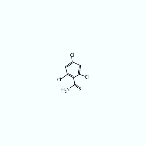 NC(=S)c1c(Cl)cc(Cl)cc1Cl